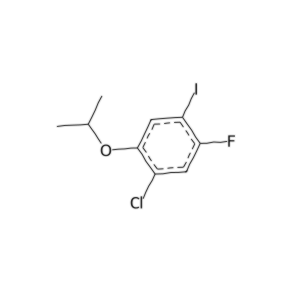 CC(C)Oc1cc(I)c(F)cc1Cl